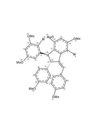 COc1ccc(/C=C2/c3c(Br)c(OC)cc(OC)c3[C@H](c3cc(OC)cc(OC)c3Br)[C@H]2c2ccc(OC)cc2)cc1